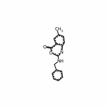 Cc1ccc2nc(NCc3ccccc3)oc(=O)c2c1